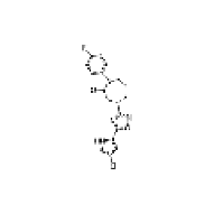 O=C1CC(c2noc(-c3cc(Cl)c[nH]3)n2)CCCN1c1ccc(F)cc1